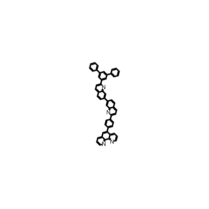 c1ccc(-c2cc(-c3ccccc3)cc(-c3ccc4ccc(-c5ccc6ccc(-c7ccc(-c8cc9cccnc9c9ncccc89)cc7)nc6c5)cc4n3)c2)cc1